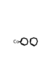 C1=CCCCCC=C1.[Co][C]1=CCCCCC=C1